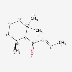 CC=CC(=O)C1[C@@H](C)CCCC1(C)C